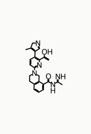 C=C(O)c1nc(N2CCc3cccc(C(=O)NC(C)=N)c3C2)ccc1C1=C(C)CN=C1